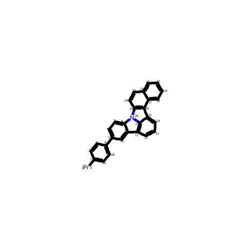 CC(C)c1ccc(-c2ccc3c(c2)c2cccc4c5c6ccccc6ccc5n3c24)cc1